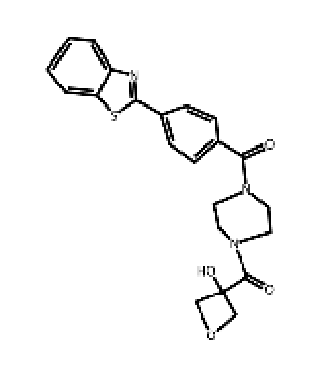 O=C(c1ccc(-c2nc3ccccc3s2)cc1)N1CCN(C(=O)C2(O)COC2)CC1